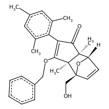 Cc1cc(C)c(C2=C(OCc3ccccc3)[C@@]3(C)[C@@](C)(C2=O)[C@@H]2C=C[C@@]3(CO)O2)c(C)c1